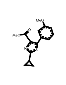 COC(=O)c1nc(C2CC2)sc1-c1cccc(OC)c1